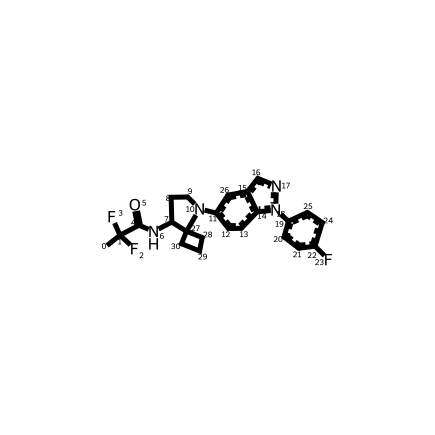 CC(F)(F)C(=O)NC1CCN(c2ccc3c(cnn3-c3ccc(F)cc3)c2)C12CCC2